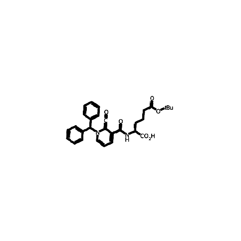 CC(C)(C)OC(=O)CCCC(NC(=O)C1=CC=CN(C(c2ccccc2)c2ccccc2)C1=C=O)C(=O)O